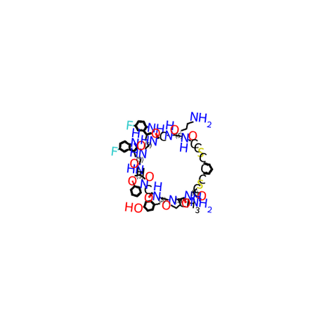 C[C@@]12CCCN1C(=O)[C@H](Cc1ccc(O)cc1)NC(=O)CN1C(=O)[C@H](COc3ccccc31)NC(=O)[C@H](Cc1c[nH]c3ccc(F)cc13)NC(=O)[C@H](Cc1c[nH]c3ccc(F)cc13)NC(=O)CNC(=O)[C@H](CCCCN)NC(=O)CCSCc1cccc(c1)CSC[C@@H](C(N)=O)NC2=O